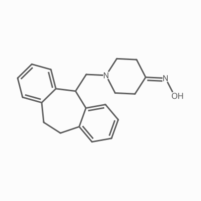 ON=C1CCN(CC2c3ccccc3CCc3ccccc32)CC1